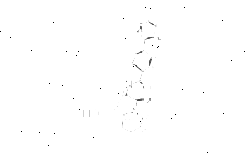 O=C(O)CC[C@H](NC(=O)c1ccc(-c2ncccn2)cc1)C(=O)N1CCCCC1